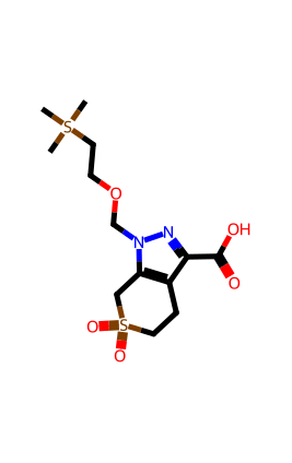 CS(C)(C)CCOCn1nc(C(=O)O)c2c1CS(=O)(=O)CC2